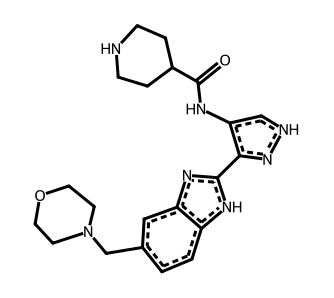 O=C(Nc1c[nH]nc1-c1nc2cc(CN3CCOCC3)ccc2[nH]1)C1CCNCC1